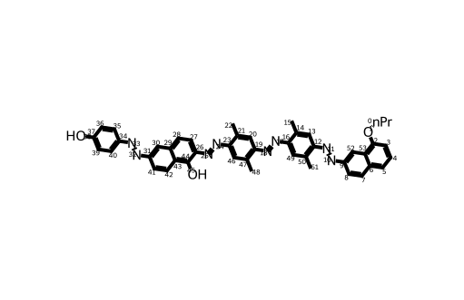 CCCOc1cccc2ccc(N=Nc3cc(C)c(N=Nc4cc(C)c(N=Nc5ccc6cc(N=Nc7ccc(O)cc7)ccc6c5O)cc4C)cc3C)cc12